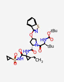 C=C[C@H]1C[C@]1(NC(=O)[C@@H]1C[C@@H](Oc2nsc3ccccc23)CN1C(=O)[C@@H](NC(=O)OC(C)(C)C)C(C)(C)C)C(=O)NS(=O)(=O)C1CC1